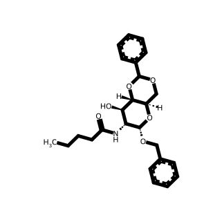 CCCCC(=O)N[C@H]1[C@@H](OCc2ccccc2)O[C@@H]2COC(c3ccccc3)O[C@H]2[C@@H]1O